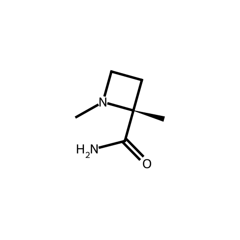 CN1CC[C@]1(C)C(N)=O